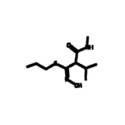 CCCSC(=NO)C(C(=O)NC)C(C)C